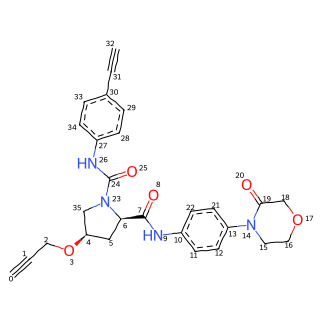 C#CCO[C@@H]1C[C@H](C(=O)Nc2ccc(N3CCOCC3=O)cc2)N(C(=O)Nc2ccc(C#C)cc2)C1